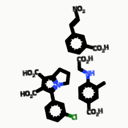 Cc1cc(C(=O)O)ccc1NCC(=O)O.O=C(O)c1c(C(=O)O)c(-c2cccc(Cl)c2)n2c1CCC2.O=C(O)c1cccc(C=C[N+](=O)[O-])c1